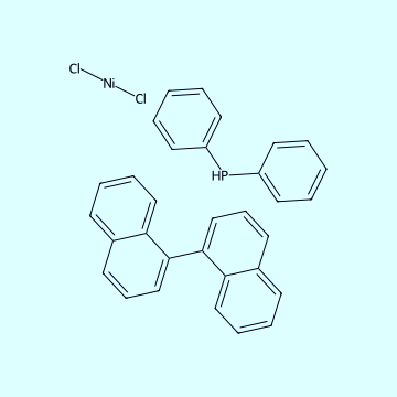 [Cl][Ni][Cl].c1ccc(Pc2ccccc2)cc1.c1ccc2c(-c3cccc4ccccc34)cccc2c1